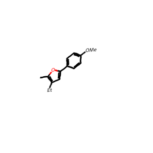 CCc1cc(-c2ccc(OC)cc2)oc1C